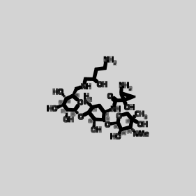 CN[C@@H]1[C@@H](O)[C@@H](O[C@H]2[C@H](NC(=O)C3(O)CC3N)C[C@H](N)C(O[C@H]3O[C@H](CNCC(O)CCN)[C@@H](O)[C@H](O)[C@H]3O)[C@@H]2O)OC[C@]1(C)O